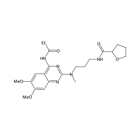 CCC(=O)Nc1nc(N(C)CCCNC(=O)C2CCCO2)nc2cc(OC)c(OC)cc12